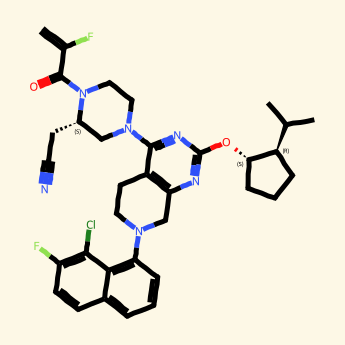 C=C(F)C(=O)N1CCN(c2nc(O[C@H]3CCC[C@@H]3C(C)C)nc3c2CCN(c2cccc4ccc(F)c(Cl)c24)C3)C[C@@H]1CC#N